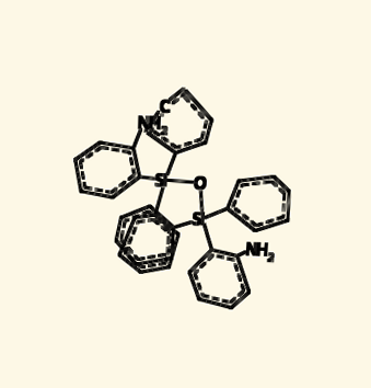 Nc1ccccc1[Si](O[Si](c1ccccc1)(c1ccccc1)c1ccccc1N)(c1ccccc1)c1ccccc1